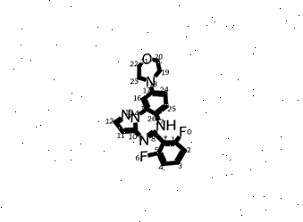 Fc1cccc(F)c1C1=Nc2ccnn2-c2cc(N3CCOCC3)ccc2N1